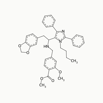 CCCCn1c(-c2ccccc2)nc(-c2ccccc2)c1C(Cc1ccc2c(c1)OCO2)NCc1ccc(C(=O)OC)c(OC)c1